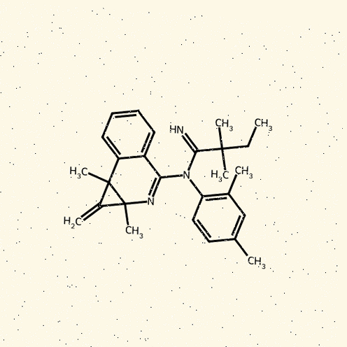 C=C1C2(C)N=C(N(C(=N)C(C)(C)CC)c3ccc(C)cc3C)c3ccccc3C12C